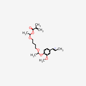 C=C(C)C(=O)OC(C)OCCCCOC(C)Oc1ccc(/C=C/C)cc1OC